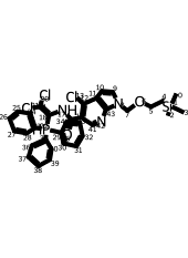 C[Si](C)(C)CCOCn1ccc2c(Cl)c(C(=O)NC(=C(Cl)Cl)[PH](c3ccccc3)(c3ccccc3)c3ccccc3)cnc21